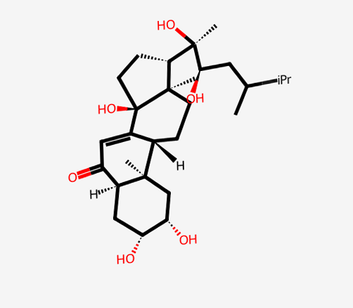 CC(C)C(C)C[C@@H](O)[C@](C)(O)[C@H]1CC[C@@]2(O)C3=CC(=O)[C@@H]4C[C@@H](O)[C@@H](O)C[C@]4(C)[C@H]3CC[C@]12C